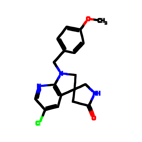 COc1ccc(CN2CC3(CNC(=O)C3)c3cc(Cl)cnc32)cc1